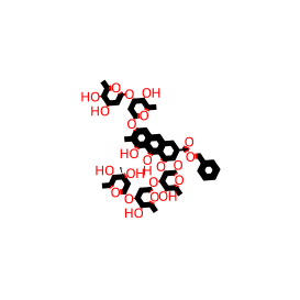 Cc1c(O[C@H]2C[C@@H](O[C@H]3C[C@@H](O)[C@H](O)C(C)O3)[C@H](O)C(C)O2)cc2cc3c(c(O)c2c1O)C(=O)[C@@H](O[C@H]1C[C@@H](O[C@H]2C[C@@H](O[C@H]4C[C@](C)(O)[C@H](O)C(C)O4)[C@H](O)C(C)O2)[C@H](O)C(C)O1)[C@H](C(=O)OCc1ccccc1)C3